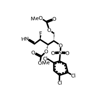 COC(=O)OC[C@H](OS(=O)(=O)c1cc(Cl)c(Cl)cc1Cl)[C@H](OC(=O)OC)[C@H](F)C=N